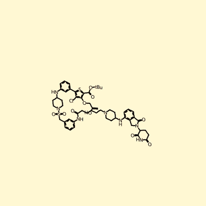 C=C(O)COc1c(C(=O)OC(C)(C)C)sc(-c2cccc(NC3CCN(S(=O)(=O)Cc4cccc(NC(=O)CCCCCN5CCC(Nc6cccc7c6CN(C6CCC(=O)NC6=O)C7=O)CC5)c4)CC3)c2)c1Cl